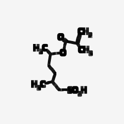 C=C(C)C(=O)OC(C)CCC(C)CS(=O)(=O)O